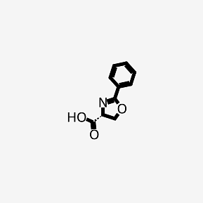 O=C(O)[C@H]1COC(c2ccccc2)=N1